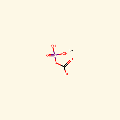 O=C(O)OP(=O)(O)O.[La]